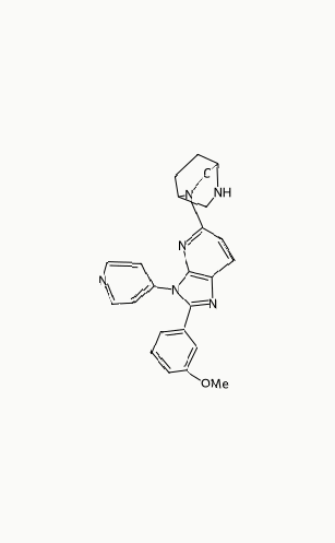 COc1cccc(-c2nc3ccc(N4CC5CCC4CN5)nc3n2-c2ccncc2)c1